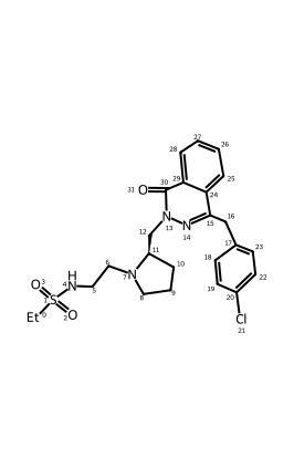 CCS(=O)(=O)NCCN1CCC[C@@H]1Cn1nc(Cc2ccc(Cl)cc2)c2ccccc2c1=O